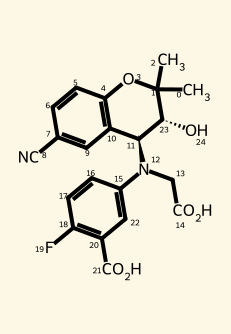 CC1(C)Oc2ccc(C#N)cc2[C@H](N(CC(=O)O)c2ccc(F)c(C(=O)O)c2)[C@H]1O